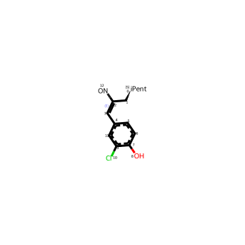 CCC[C@H](C)C/C(=C\c1ccc(O)c(Cl)c1)N=O